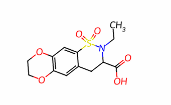 CCN1C(C(=O)O)Cc2cc3c(cc2S1(=O)=O)OCCO3